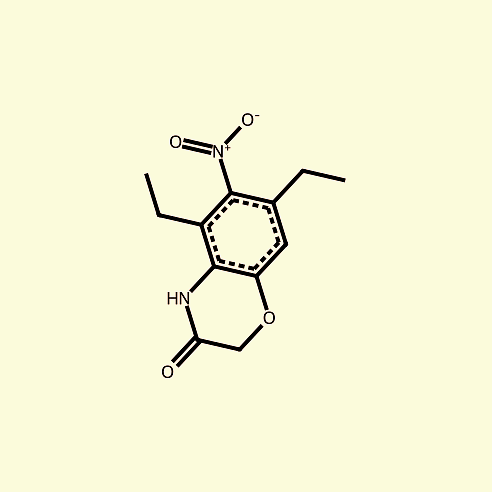 CCc1cc2c(c(CC)c1[N+](=O)[O-])NC(=O)CO2